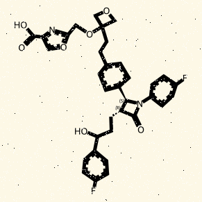 O=C(O)c1coc(COC2(CCc3ccc([C@@H]4[C@@H](CCC(O)c5ccc(F)cc5)C(=O)N4c4ccc(F)cc4)cc3)COC2)n1